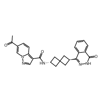 CC(=O)c1ccc2c(C(=O)N[C@H]3CC4(C3)C[C@H](c3n[nH]c(=O)c5ccccc53)C4)cnn2c1